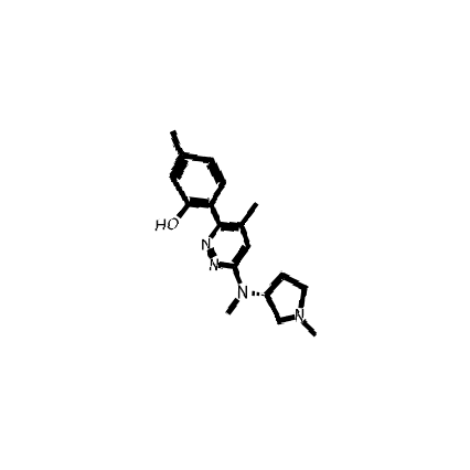 Cc1ccc(-c2nnc(N(C)[C@@H]3CCN(C)C3)cc2C)c(O)c1